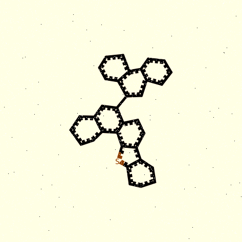 c1ccc2c(c1)cc(-c1cc3ccccc3c3c1ccc1c4ccccc4sc13)c1ccccc12